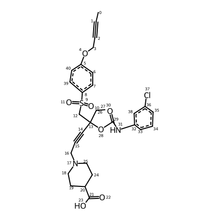 CC#CCOc1ccc(S(=O)(=O)CC(C#CCN2CCC(C(=O)O)CC2)(CC)OC(=O)Nc2cccc(Cl)c2)cc1